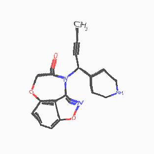 CC#CC(C1CCNCC1)N1C(=O)COc2cccc3onc1c23